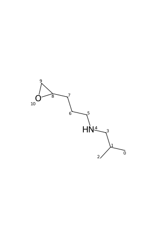 CC(C)CNCCCC1CO1